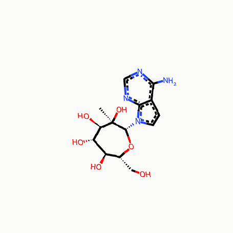 C[C@@]1(O)[C@H](O)[C@@H](O)[C@H](O)[C@@H](CO)O[C@H]1n1ccc2c(N)ncnc21